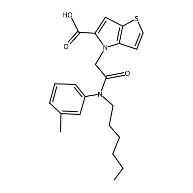 CCCCCCN(C(=O)Cn1c(C(=O)O)cc2sccc21)c1cccc(C)c1